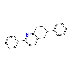 c1ccc(-c2ccc3c(n2)CCC(c2ccccc2)C3)cc1